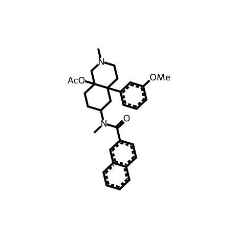 COc1cccc(C23CCN(C)CC2(OC(C)=O)CCC(N(C)C(=O)c2ccc4ccccc4c2)C3)c1